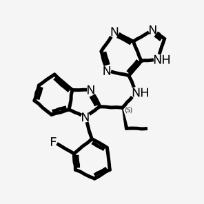 CC[C@H](Nc1ncnc2nc[nH]c12)c1nc2ccccc2n1-c1ccccc1F